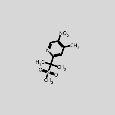 Cc1cc(C(C)(C)S(C)(=O)=O)ncc1[N+](=O)[O-]